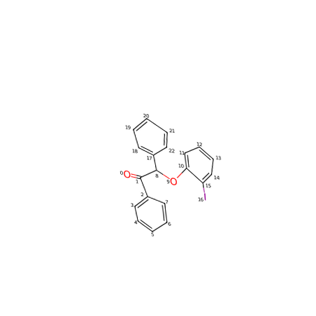 O=C(c1ccccc1)C(Oc1ccccc1I)c1ccccc1